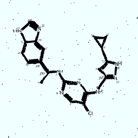 C[C@H](Nc1ncc(Cl)c(Nc2cc(C3CC3)[nH]n2)n1)c1ccc2[nH]cnc2c1